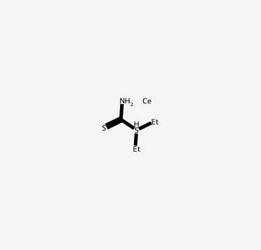 CC[SH](CC)C(N)=S.[Ce]